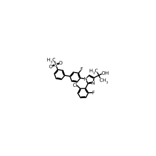 CC(C)(O)c1cn(-c2ccc(-c3cccc(S(C)(=O)=O)c3)cc2F)c(-c2c(F)cccc2Cl)n1